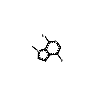 Cn1ccc2c(Br)cnc(Br)c21